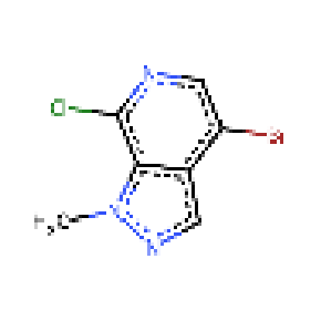 Cn1ncc2c(Br)cnc(Cl)c21